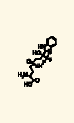 N=S(=O)(CC[C@H](N)C(=O)O)CCC(O)(c1nc2ccccc2[nH]1)C(F)(F)F